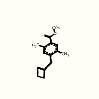 COC(=O)c1cc(C)c(CC2CCC2)cc1C